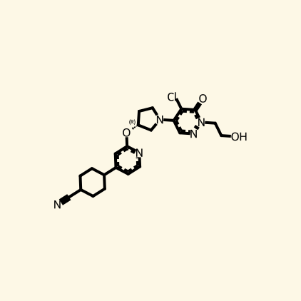 N#CC1CCC(c2ccnc(O[C@@H]3CCN(c4cnn(CCO)c(=O)c4Cl)C3)c2)CC1